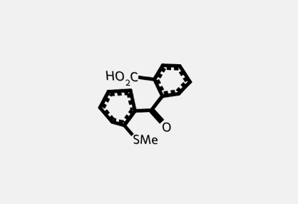 CSc1ccccc1C(=O)c1ccccc1C(=O)O